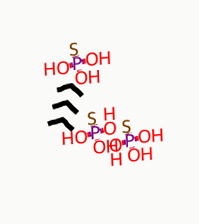 CCC.CCC.CCC.OP(O)(O)=S.OP(O)(O)=S.OP(O)(O)=S